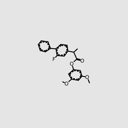 COc1cc(OC)cc(OC(=O)C(C)c2ccc(-c3ccccc3)c(F)c2)c1